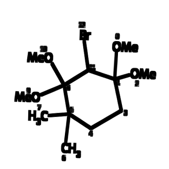 COC1(OC)CCC(C)(C)C(OC)(OC)C1Br